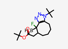 BC1(F)c2nnn(C(C)(C)C)c2CCCCC1CC(=O)OC(C)(C)C